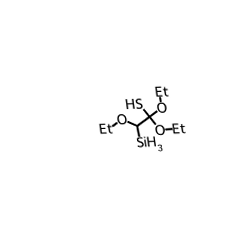 CCOC([SiH3])C(S)(OCC)OCC